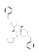 O=C1C(COCc2ccccc2)NC(=O)C2(CCN(Cc3ccccc3)CC2)N1CC1CCCO1